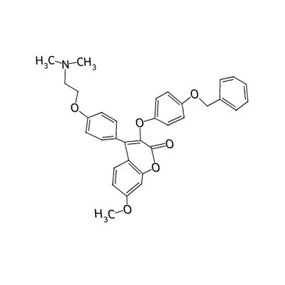 COc1ccc2c(-c3ccc(OCCN(C)C)cc3)c(Oc3ccc(OCc4ccccc4)cc3)c(=O)oc2c1